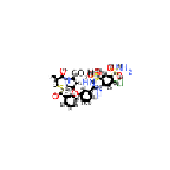 CC(CSC(=O)c1ccccc1)C(=O)N1CC(Oc2cccc(C3Nc4cc(Cl)c(S(N)(=O)=O)cc4S(=O)(=O)N3)c2)C[C@H]1C(=O)O